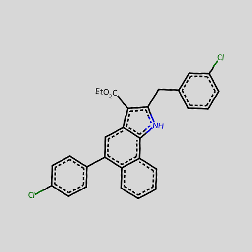 CCOC(=O)c1c(Cc2cccc(Cl)c2)[nH]c2c1cc(-c1ccc(Cl)cc1)c1ccccc12